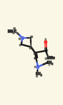 COC(=O)C(=CN(C)C)C1CN(C(=O)O)C1